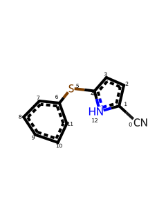 N#Cc1ccc(Sc2ccccc2)[nH]1